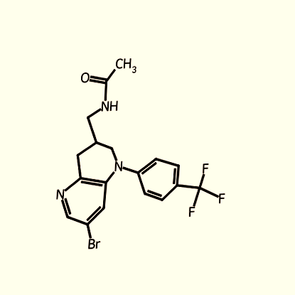 CC(=O)NCC1Cc2ncc(Br)cc2N(c2ccc(C(F)(F)F)cc2)C1